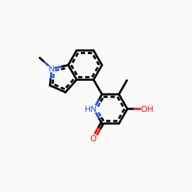 Cc1c(O)cc(=O)[nH]c1-c1cccc2c1ccn2C